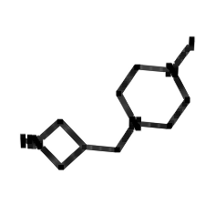 IN1CCN(CC2CNC2)CC1